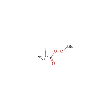 CC(C)(C)OOC(=O)C1(C)CC1